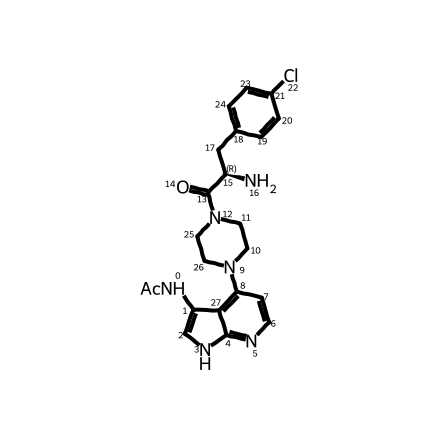 CC(=O)Nc1c[nH]c2nccc(N3CCN(C(=O)[C@H](N)Cc4ccc(Cl)cc4)CC3)c12